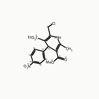 CCOC(=O)C1=C(CCl)NC(C)=C(C(=O)OC)C1c1ccc([N+](=O)[O-])cc1